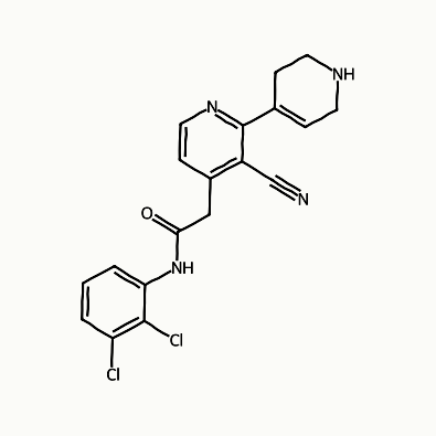 N#Cc1c(CC(=O)Nc2cccc(Cl)c2Cl)ccnc1C1=CCNCC1